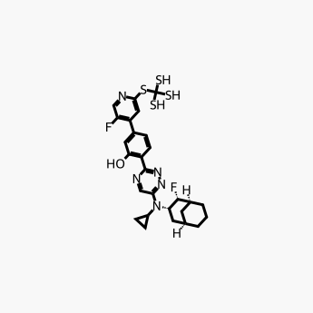 Oc1cc(-c2cc(SC(S)(S)S)ncc2F)ccc1-c1ncc(N(C2CC2)[C@H]2C[C@@H]3CCC[C@@H](C3)[C@H]2F)nn1